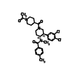 CC(=O)N1CCC(C(=O)N2CC[C@@H](N(C)C(=O)c3ccc(C)cc3)[C@H](c3ccc(Cl)c(Cl)c3)C2)CC1